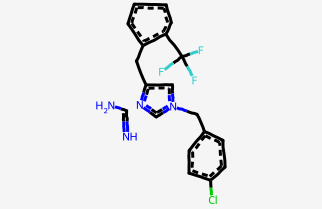 FC(F)(F)c1ccccc1Cc1cn(Cc2ccc(Cl)cc2)cn1.N=CN